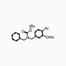 COc1cc(CN(Cc2ccccc2)C(=O)OC(C)(C)C)ccc1C(C)=O